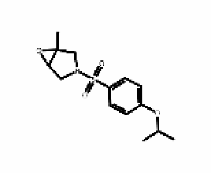 CC(C)Oc1ccc(S(=O)(=O)N2CC3OC3(C)C2)cc1